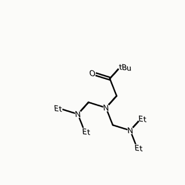 CCN(CC)CN(CC(=O)C(C)(C)C)CN(CC)CC